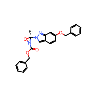 CC[C@@]1(n2cc3ccc(OCc4ccccc4)cc3n2)ON1C(=O)OCc1ccccc1